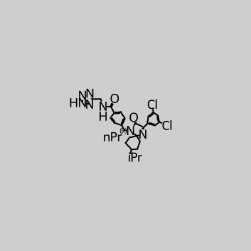 CCC[C@H](c1ccc(C(=O)NCc2nn[nH]n2)cc1)N1C(=O)C(c2cc(Cl)cc(Cl)c2)=NC12CCC(C(C)C)CC2